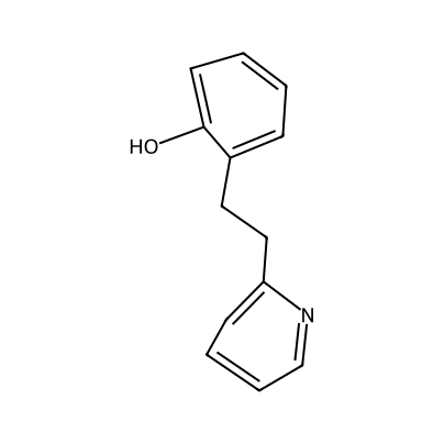 Oc1ccccc1CCc1ccccn1